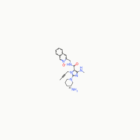 CC#CCn1c(N2CCC[C@@H](N)C2)nc(NC)c1C(=O)NCc1cc2ccccc2c[n+]1[O-]